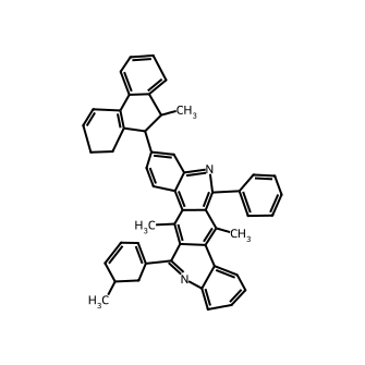 Cc1c2c(-c3ccccc3)nc3cc(C4C5=C(C=CCC5)c5ccccc5C4C)ccc3c2c(C)c2c(C3=CC=CC(C)C3)nc3ccccc3c12